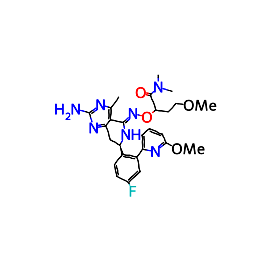 COCCC(O/N=C1\N[C@@H](c2ccc(F)cc2-c2cccc(OC)n2)Cc2nc(N)nc(C)c21)C(=O)N(C)C